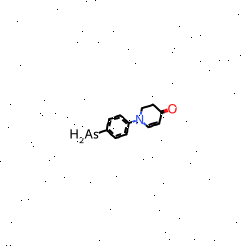 O=C1C=CN(c2ccc([AsH2])cc2)CC1